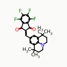 CC1(C)CCN2CCC(C)(C)c3cc(C=C4C(=O)c5c(F)c(F)c(F)c(F)c5C4=O)cc1c32